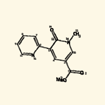 COC(=O)c1cc(-c2ccccn2)c(=O)n(C)c1